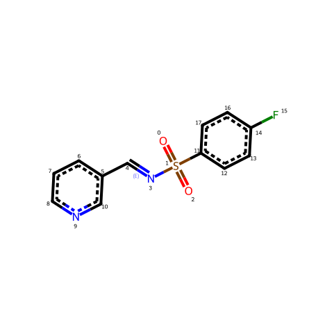 O=S(=O)(/N=C/c1cccnc1)c1ccc(F)cc1